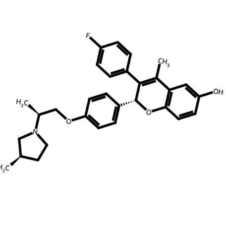 CC1=C(c2ccc(F)cc2)[C@@H](c2ccc(OC[C@H](C)N3CC[C@@H](C)C3)cc2)Oc2ccc(O)cc21